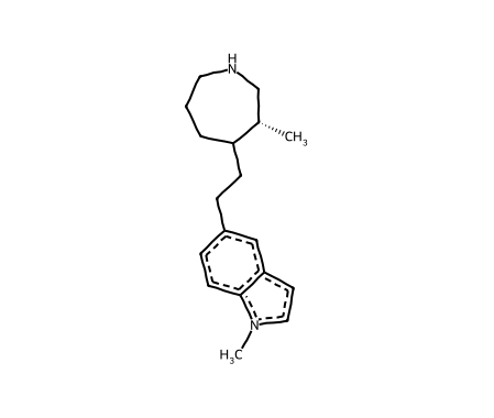 C[C@H]1CNCCCC1CCc1ccc2c(ccn2C)c1